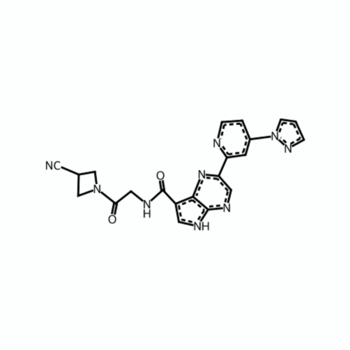 N#CC1CN(C(=O)CNC(=O)c2c[nH]c3ncc(-c4cc(-n5cccn5)ccn4)nc23)C1